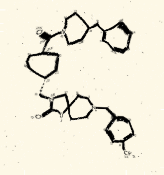 O=C1OC2(CCN(Cc3ccc(C(F)(F)F)cc3)CC2)CN1C[C@H]1CC[C@H](C(=O)N2CCC(Cc3ccccc3)CC2)CC1